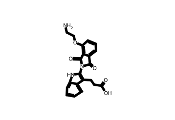 NCCOc1cccc2c1C(=O)N(c1[nH]c3ccccc3c1CCC(=O)O)C2=O